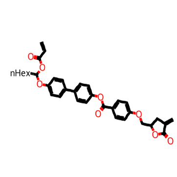 C=CC(=O)OC(CCCCCC)Oc1ccc(-c2ccc(OC(=O)c3ccc(OCC4CC(=C)C(=O)O4)cc3)cc2)cc1